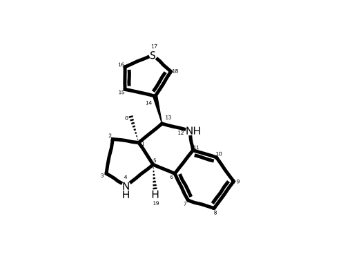 C[C@@]12CCN[C@@H]1c1ccccc1N[C@@H]2c1ccsc1